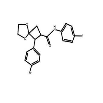 O=C(Nc1ccc(F)cc1)C1CC2(OCCO2)C1c1ccc(Br)cc1